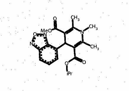 COC(=O)C1=C(C)N(C)C(C)=C(C(=O)OC(C)C)C1c1cccc2nonc12